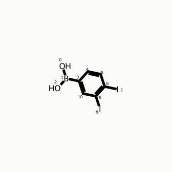 OB(O)c1ccc(I)c(I)c1